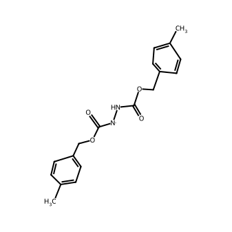 Cc1ccc(COC(=O)[N]NC(=O)OCc2ccc(C)cc2)cc1